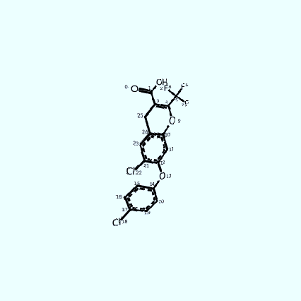 O=C(O)C1=C(C(F)(F)F)Oc2cc(Oc3ccc(Cl)cc3)c(Cl)cc2C1